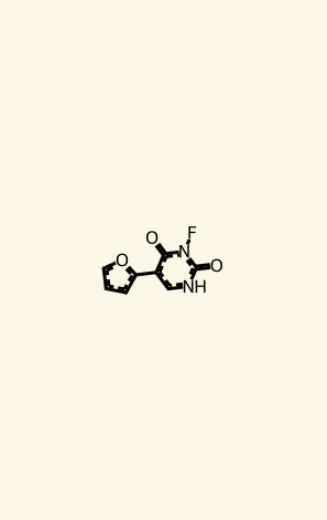 O=c1[nH]cc(-c2ccco2)c(=O)n1F